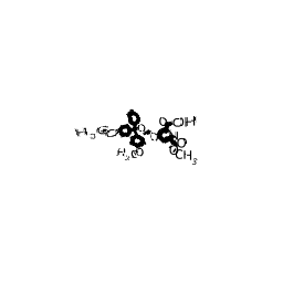 COC(=O)c1cc(OCCOC(c2ccccc2)(c2ccc(OC)cc2)c2ccc(OC)cc2)cc(C(=O)O)n1